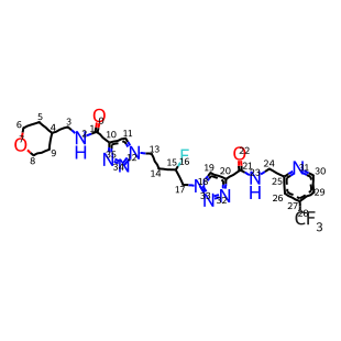 O=C(NCC1CCOCC1)c1cn(CCC(F)Cn2cc(C(=O)NCc3cc(C(F)(F)F)ccn3)nn2)nn1